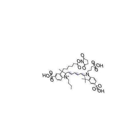 CCCC[N+]1=C(/C=C/C=C/C=C2/N(CCCS(=O)(=O)O)c3ccc(S(=O)(=O)O)cc3C2(C)C)C(C)(CCCCCC(=O)ON2C(=O)CCC2=O)c2cc(S(=O)(=O)O)ccc21